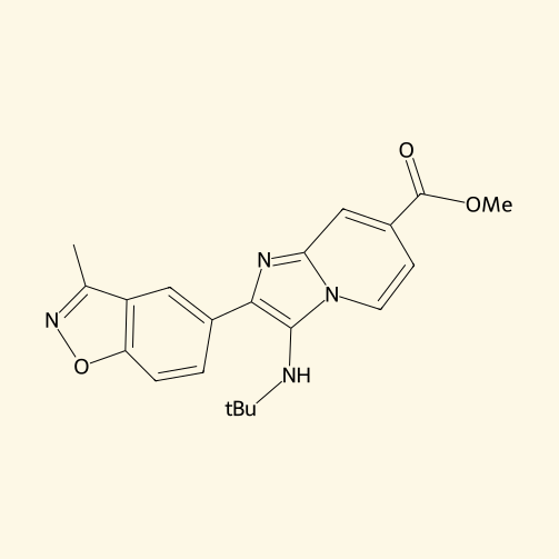 COC(=O)c1ccn2c(NC(C)(C)C)c(-c3ccc4onc(C)c4c3)nc2c1